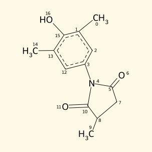 Cc1cc(N2C(=O)CC(C)C2=O)cc(C)c1O